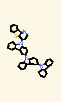 c1ccc2c(c1)sc1c(-n3c4ccccc4c4cc(-n5c6ccccc6c6cc(-n7c8ccccc8c8ccccc87)ccc65)ccc43)ccnc12